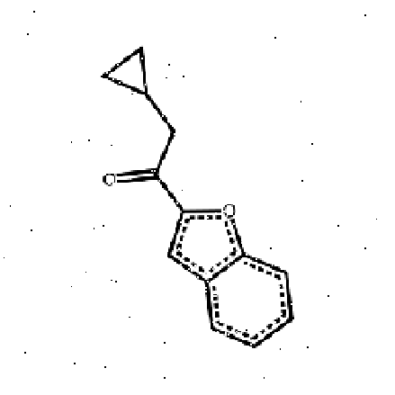 O=C(CC1CC1)c1cc2ccccc2o1